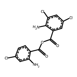 Nc1cc(Cl)ccc1C(=O)OC(=O)c1cc(Cl)cc(Cl)c1N